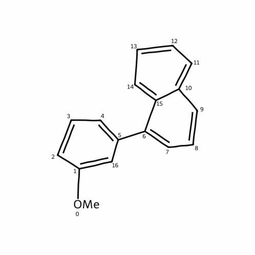 COc1cccc(-c2cccc3ccccc23)c1